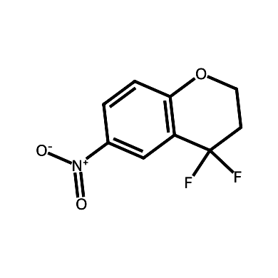 O=[N+]([O-])c1ccc2c(c1)C(F)(F)CCO2